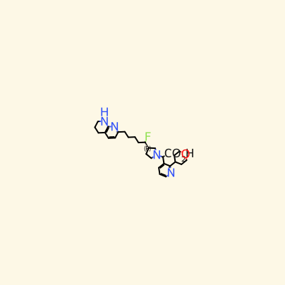 O=C(O)C(c1cccnc1C1CCOCC1)N1CC[C@@H](C(F)CCCCc2ccc3c(n2)NCCC3)C1